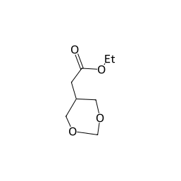 CCOC(=O)CC1COCOC1